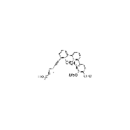 COc1nc(-c2cccc(-c3cccc(C#CC4CN(C(=O)O)C4)c3C)c2C)ccc1C=O